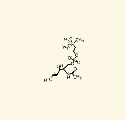 C/C=C/C(O)C(COP(=O)([O-])OCC[N+](C)(C)C)NC(C)=O